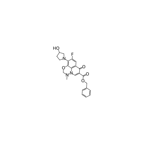 CN1COc2c(N3CCC(O)C3)c(F)cc3c(=O)c(C(=O)OCc4ccccc4)cn1c23